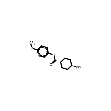 CCC[C@H]1CC[C@H](C(=O)Oc2ccc(OC(F)(F)F)nc2)CC1